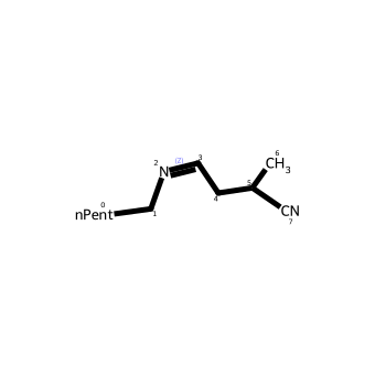 CCCCCC/N=C\CC(C)C#N